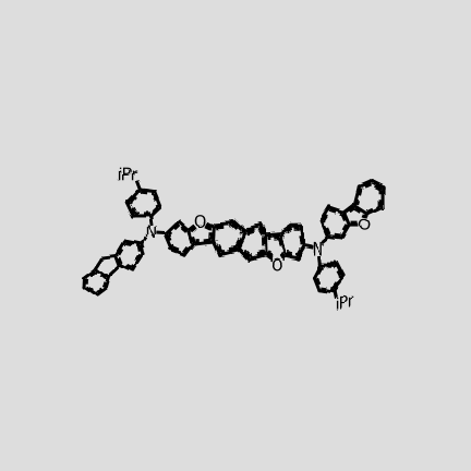 CC(C)c1ccc(N(c2ccc3c(c2)Cc2ccccc2-3)c2ccc3c(c2)oc2cc4cc5c(cc4cc23)oc2cc(N(c3ccc(C(C)C)cc3)c3ccc4c(c3)oc3ccccc34)ccc25)cc1